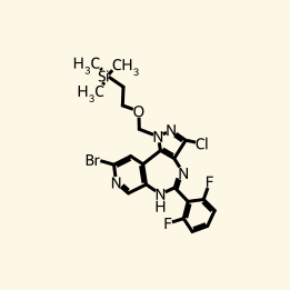 C[Si](C)(C)CCOCn1nc(Cl)c2c1-c1cc(Br)ncc1NC(c1c(F)cccc1F)=N2